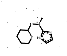 C[C@H](OC1CCCCO1)c1ncc[nH]1